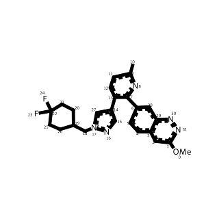 COc1cc2ccc(-c3nc(C)ccc3-c3cnn(CC4CCC(F)(F)CC4)c3)cc2nn1